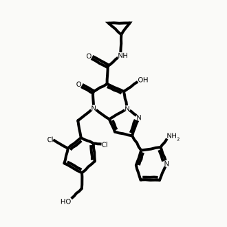 Nc1ncccc1-c1cc2n(Cc3c(Cl)cc(CO)cc3Cl)c(=O)c(C(=O)NC3CC3)c(O)n2n1